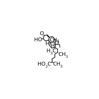 CC(CCC[C@@H](C)[C@H]1CC[C@H]2[C@@H]3CCC4=CC(=O)C(O)C[C@]4(C)[C@H]3CC[C@]12C)C(=O)O